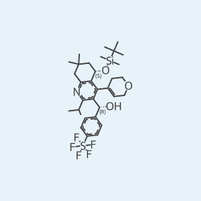 CC(C)c1nc2c(c(C3=CCOCC3)c1[C@H](O)c1ccc(S(F)(F)(F)(F)F)cc1)[C@@H](O[Si](C)(C)C(C)(C)C)CC(C)(C)C2